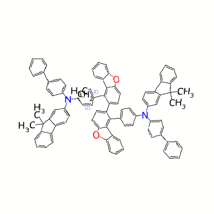 C=C(/C=C\C(=C/C)c1c(-c2ccc3oc4ccccc4c3c2-c2ccc(N(c3ccc(-c4ccccc4)cc3)c3ccc4c(c3)C(C)(C)c3ccccc3-4)cc2)ccc2oc3ccccc3c12)N(c1ccc(-c2ccccc2)cc1)c1ccc2c(c1)C(C)(C)c1ccccc1-2